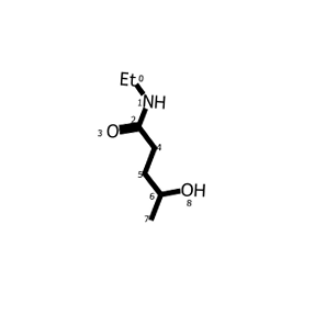 CCNC(=O)CCC(C)O